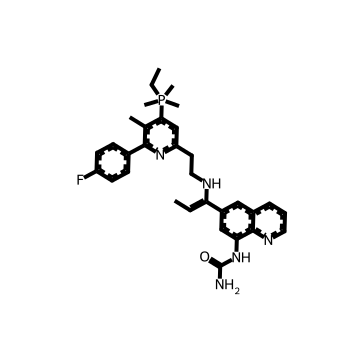 C/C=C(\NCCc1cc(P(C)(C)(C)CC)c(C)c(-c2ccc(F)cc2)n1)c1cc(NC(N)=O)c2ncccc2c1